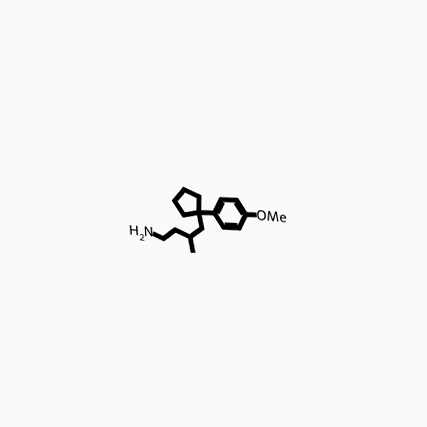 COc1ccc(C2(CC(C)CCN)CCCC2)cc1